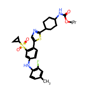 Cc1ccc(Nc2ccc(-c3cnc(C4CCC(NC(=O)OC(C)C)CC4)s3)c(S(=O)(=O)C3CC3)c2)c(F)c1